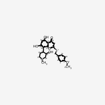 COc1ccc(CSc2cc(=O)c3c(O)cc(O)c(C4CCN(C)CC4O)c3o2)cc1